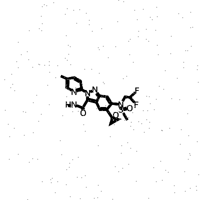 CNC(=O)c1c2cc(C3CC3)c(N(CC(F)F)S(C)(=O)=O)cc2nn1-c1ccc(C)cn1